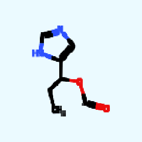 CCC(O[C]=O)c1cnc[nH]1